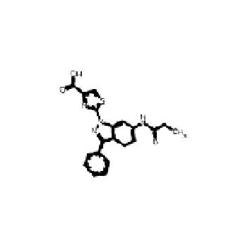 CCC(=O)NC1=CCC2C(=C1)N(c1nc(C(=O)O)cs1)N=C2c1ccccc1